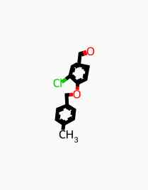 Cc1ccc(COc2ccc(C=O)cc2Cl)cc1